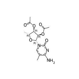 CC(=O)O[C@@H]1[C@H](OC(C)=O)[C@@H](C)O[C@H]1n1cc(C)c(N)nc1=O